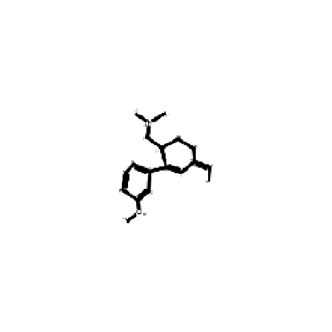 CC=C1C=C(c2cccc(OC)c2)C(CN(C)C)CC1